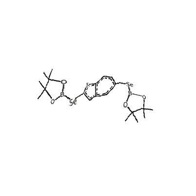 CC1(C)OB([Se]c2ccc3sc([Se]B4OC(C)(C)C(C)(C)O4)cc3c2)OC1(C)C